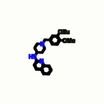 COc1ccc(CN2CCC(Nc3ccc4ccccc4n3)CC2)cc1OCC(C)C